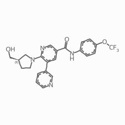 O=C(Nc1ccc(OC(F)(F)F)cc1)c1cnc(N2CC[C@@H](CO)C2)c(-c2cccnc2)c1